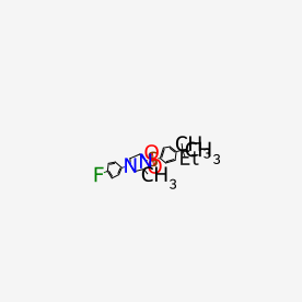 CCC(C)(C)c1ccc(S(=O)(=O)N2CCN(c3ccc(F)cc3)CC2C)cc1